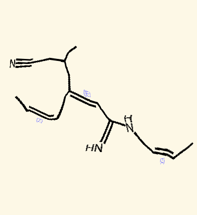 C/C=C\NC(=N)/C=C(\C=C/C)C(C)C#N